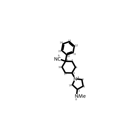 CNC1CCN(C2CCC(C#N)(c3ccccc3)CC2)C1